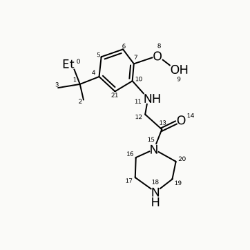 CCC(C)(C)c1ccc(OO)c(NCC(=O)N2CCNCC2)c1